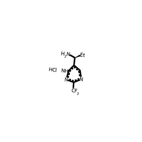 CC[C@H](N)c1cnc(C(F)(F)F)nc1.Cl.N